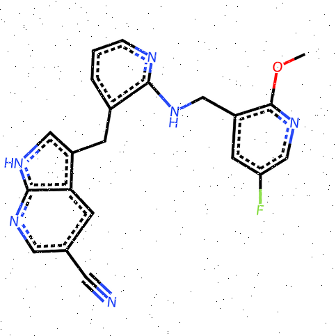 COc1ncc(F)cc1CNc1ncccc1Cc1c[nH]c2ncc(C#N)cc12